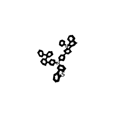 c1ccc(-c2ccccc2-c2ccccc2-c2ccc(N(c3ccc(-c4ccc5c6ccc7ccccc7c6n(-c6ccccc6)c5c4)cc3)c3ccc4sc5ccccc5c4c3)cc2)cc1